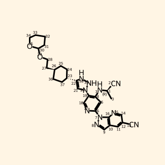 C[C@H](C#N)Nc1cc(-n2ncc3cc(C#N)cnc32)ncc1N1C=C([C@H]2CC[C@H](CCOC3CCCCO3)CC2)NN1